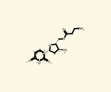 NCCC(=O)OC[C@H]1O[C@@H](n2ccc(=O)[nH]c2=O)C[C@@H]1O